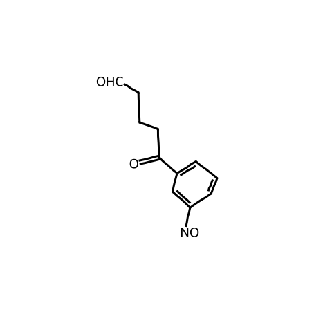 O=CCCCC(=O)c1cccc(N=O)c1